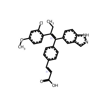 CC/C(=C(/c1ccc(/C=C/C(=O)O)cc1)c1ccc2[nH]ncc2c1)c1ccc(OC)cc1Cl